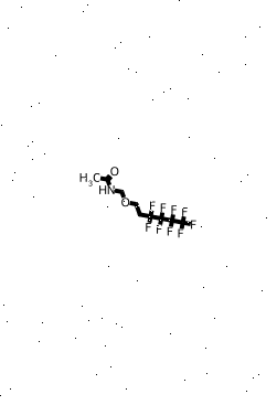 CC(=O)NCOCCC(F)(F)C(F)(F)C(F)(F)C(F)(F)F